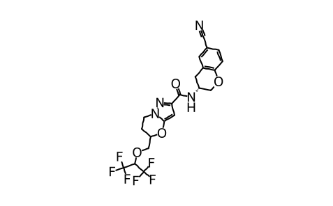 N#Cc1ccc2c(c1)C[C@@H](NC(=O)c1cc3n(n1)CCC(COC(C(F)(F)F)C(F)(F)F)O3)CO2